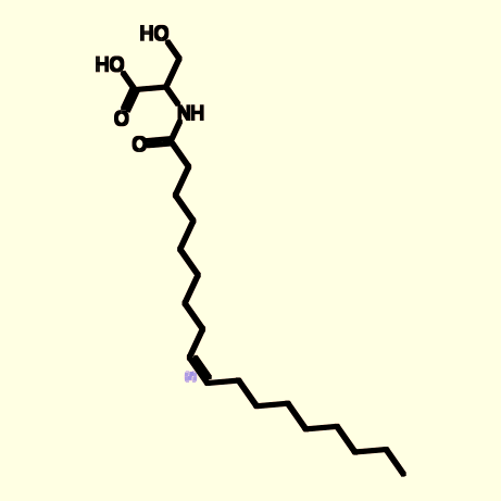 CCCCCCCC/C=C\CCCCCCCC(=O)NC(CO)C(=O)O